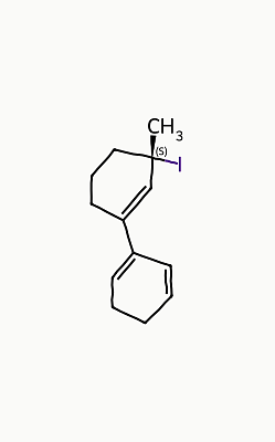 C[C@@]1(I)C=C(C2=CCCC=C2)CCC1